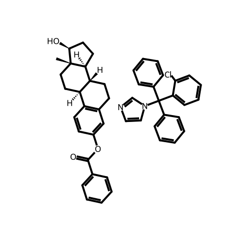 C[C@]12CC[C@@H]3c4ccc(OC(=O)c5ccccc5)cc4CC[C@H]3[C@@H]1CC[C@@H]2O.Clc1ccccc1C(c1ccccc1)(c1ccccc1)n1ccnc1